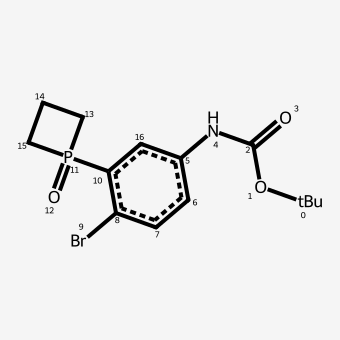 CC(C)(C)OC(=O)Nc1ccc(Br)c(P2(=O)CCC2)c1